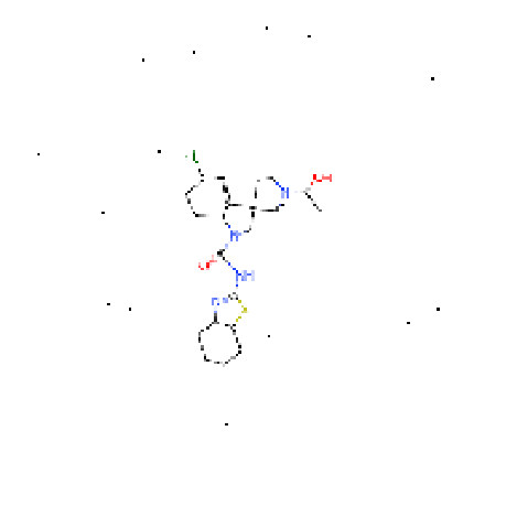 CC(O)N1CCC2(C1)CN(C(=O)NC1=NC3CCCCC3S1)C1CCC(Cl)C=C12